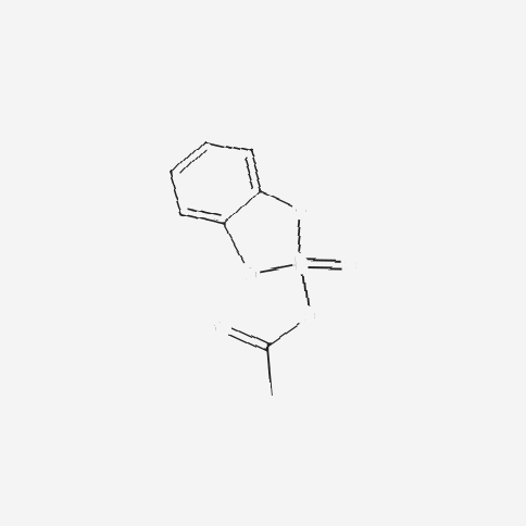 CC(=O)OP1(=O)Oc2ccccc2O1